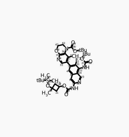 Cc1c(-c2cc3cc(NC(=O)OC4CC(C)(O[Si](C)(C)C(C)(C)C)C4)ncc3c(NC(=O)OC(C)(C)C)c2F)cnc2c1N(C(=O)OC(C)(C)C)CCO2